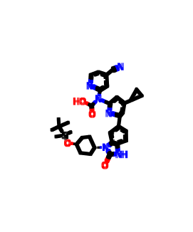 CC(C)(C)[Si](C)(C)O[C@H]1CC[C@H](n2c(=O)[nH]c3ccc(-c4cc(C5CC5)cc(N(C(=O)O)c5cc(C#N)ccn5)n4)cc32)CC1